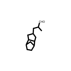 CC(C=O)CC1CC2C3CCC(C3)C2C1